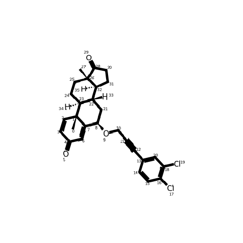 C[C@]12C=CC(=O)C=C1[C@H](OCC#Cc1ccc(Cl)c(Cl)c1)C[C@@H]1[C@@H]2CC[C@]2(C)C(=O)CC[C@@H]12